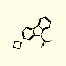 C1CCC1.Cl[SiH](Cl)n1c2ccccc2c2ccccc21